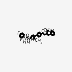 Cc1nc(NC(=O)Nc2ccc(F)cc2F)ccc1-c1ccc(C(=O)CC(Cc2ccccc2)C(=O)O)cc1